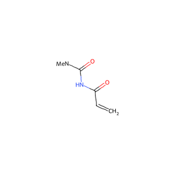 C=CC(=O)NC(=O)NC